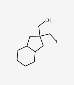 CCC1(CI)CC2CCCCC2C1